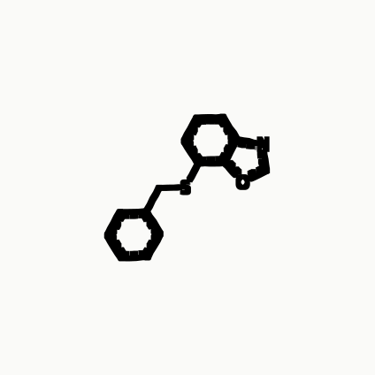 c1ccc(CSc2cccc3ncoc23)cc1